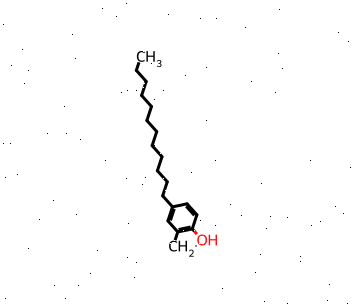 [CH2]c1cc(CCCCCCCCCCCC)ccc1O